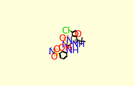 CN(C)S(=O)(=O)c1cccc(Nc2n[s+]([O-])nc2N[C@@H](c2cc(Cl)co2)C(C)(C)C)c1O